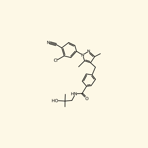 Cc1nn(-c2ccc(C#N)c(Cl)c2)c(C)c1Cc1ccc(C(=O)NCC(C)(C)O)cc1